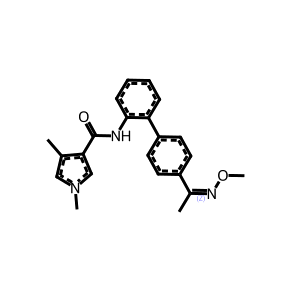 CO/N=C(/C)c1ccc(-c2ccccc2NC(=O)c2cn(C)cc2C)cc1